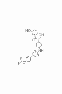 O=C(C(CO)c1ccc(Nc2ncc(-c3ccc(OC(F)F)cc3)cn2)cc1)N1CCCC(O)C1